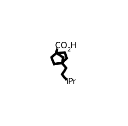 CC(C)CCC12CCC(C(=O)O)(CC1)C2